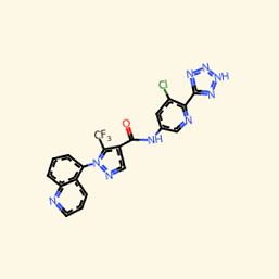 O=C(Nc1cnc(-c2nn[nH]n2)c(Cl)c1)c1cnn(-c2cccc3ncccc23)c1C(F)(F)F